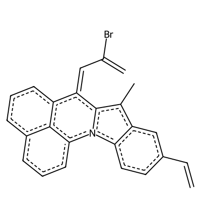 C=Cc1ccc2c(c1)c(C)c1/c(=C\C(=C)Br)c3cccc4cccc(c43)n12